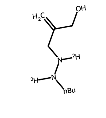 [2H]N(CCCC)N([2H])CC(=C)CO